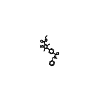 CCOC(=O)c1[nH]c(C)c(-c2ccc(C(=O)N(C)Cc3ccccc3)cc2)c1C